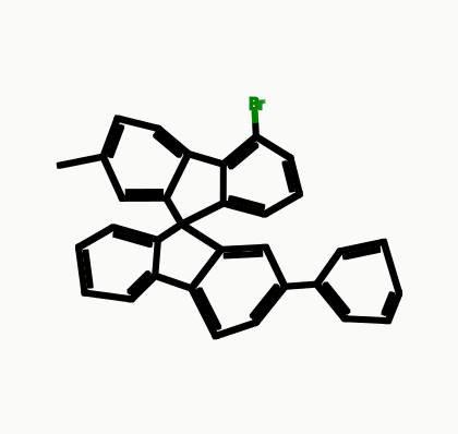 Cc1ccc2c(c1)C1(c3ccccc3-c3ccc(-c4ccccc4)cc31)c1cccc(Br)c1-2